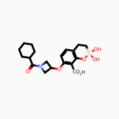 O=C(O)c1c(OC2CN(C(=O)C3CCCCC3)C2)ccc2c1O[B-](O)(O)CC2